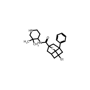 CCC12CC3CC4(C(=O)NC5CCNCC5(C)C)CC(c5ccccc5)(C1)C32C4